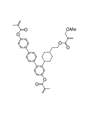 C=C(C)C(=O)Oc1ccc(-c2ccc(-c3ccc(OC(=O)C(=C)C)cc3C3CCC(CCOC(=O)C(=C)COC)CC3)cc2)cc1